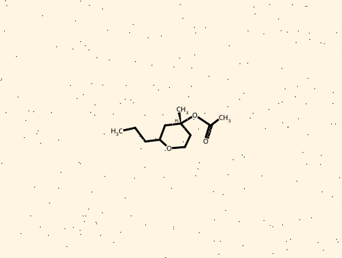 CCCC1C[C@](C)(OC(C)=O)CCO1